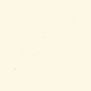 COc1cc(-n2nc3cc(NC(=O)NCc4ccncc4)ccc3c2C#N)ccn1